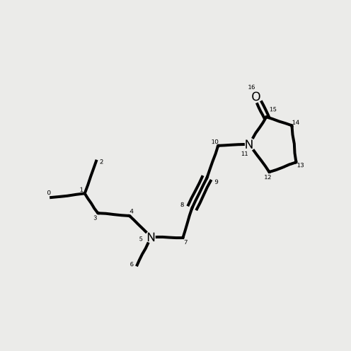 CC(C)CCN(C)CC#CCN1CCCC1=O